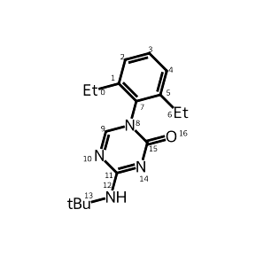 CCc1cccc(CC)c1-n1cnc(NC(C)(C)C)nc1=O